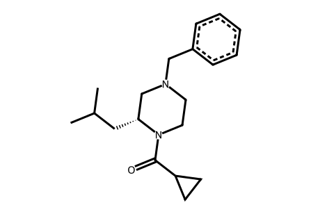 CC(C)C[C@@H]1CN(Cc2ccccc2)CCN1C(=O)C1CC1